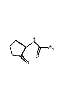 NC(=O)NC1CCOC1=O